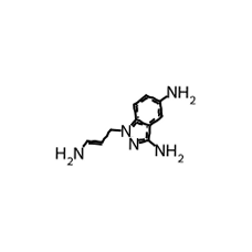 NC=CCn1nc(N)c2cc(N)ccc21